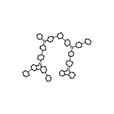 c1ccc(-c2ccc(N(c3ccc(-c4ccc(-n5c6ccccc6c6ccccc65)cc4)cc3)c3ccc(-c4cccc(-c5ccc(N(c6ccccc6)c6ccc(-c7ccc(-n8c9ccc(-c%10ccccc%10)cc9c9cc(-c%10ccccc%10)ccc98)cc7)cc6)cc5)c4)cc3)cc2)cc1